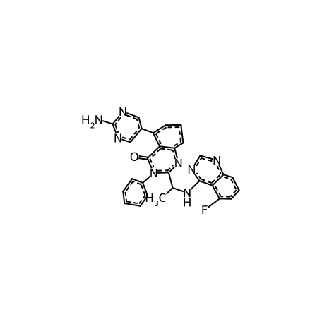 CC(Nc1ncnc2cccc(F)c12)c1nc2cccc(-c3cnc(N)nc3)c2c(=O)n1-c1ccccc1